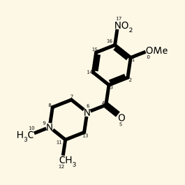 COc1cc(C(=O)N2CCN(C)C(C)C2)ccc1[N+](=O)[O-]